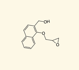 OCc1ccc2ccccc2c1OCC1CO1